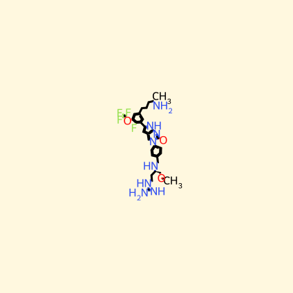 COC[C@@H](CCNC(=N)N)NCc1ccc(-n2cc3cc(-c4cc(CCC[C@H](C)N)cc(OC(F)(F)F)c4F)[nH]c3nc2=O)cc1